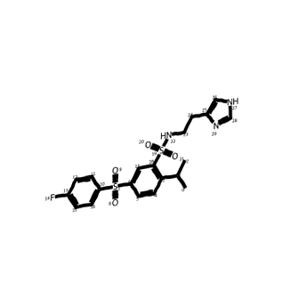 CC(C)c1ccc(S(=O)(=O)c2ccc(F)cc2)cc1S(=O)(=O)NCCc1c[nH]cn1